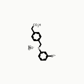 [B+2]c1cccc(SCc2ccc(CC(=O)O)cc2)c1.[OH-].[OH-]